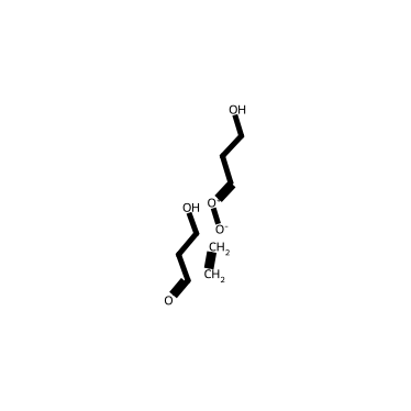 C=C.O=CCCO.[O-][O+]=CCCO